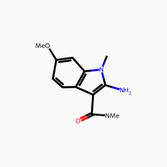 CNC(=O)c1c(N)n(C)c2cc(OC)ccc12